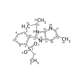 CCS(=O)(=O)c1ccccc1-c1nc2cc(C)cnc2n1C(C)C